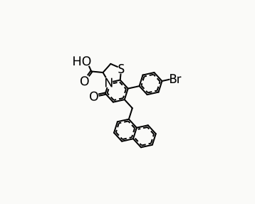 O=C(O)C1CSc2c(-c3ccc(Br)cc3)c(Cc3cccc4ccccc34)cc(=O)n21